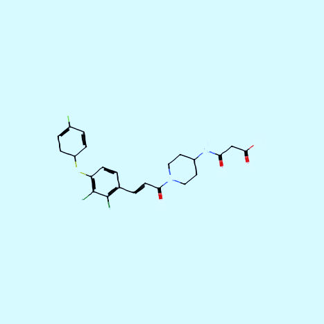 O=C(O)CC(=O)NC1CCN(C(=O)/C=C/c2ccc(SC3C=CC(F)=CC3)c(Cl)c2Cl)CC1